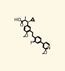 COc1cc(-c2ccc(CCc3cc([C@H](C4CC4)[C@H](C)C(=O)O)ccc3OC)c(F)c2)ccn1